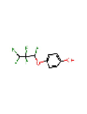 Oc1ccc(OC(F)C(F)(F)C(F)F)cc1